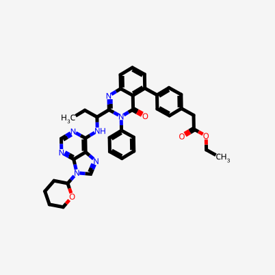 CCOC(=O)Cc1ccc(-c2cccc3nc(C(CC)Nc4ncnc5c4ncn5C4CCCCO4)n(-c4ccccc4)c(=O)c23)cc1